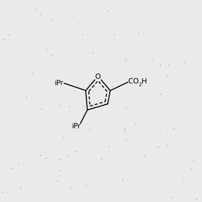 CC(C)c1cc(C(=O)O)oc1C(C)C